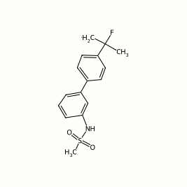 [CH2]C(C)(F)c1ccc(-c2cccc(NS(C)(=O)=O)c2)cc1